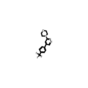 FC(F)(F)c1ccc(-c2cnnc(N3CCOCC3)c2)cc1